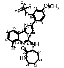 COc1ccc(-c2nc3c4cccc(Br)c4nc(N[C@H]4CCCCNC4=O)n3n2)c(OC(F)(F)F)c1